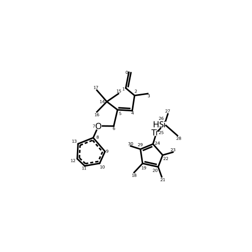 C=CC(C)C=C(COc1ccccc1)C(C)(C)C.CC1=C(C)C(C)[C]([Ti][SiH](C)C)=C1C